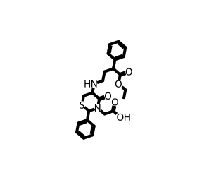 CCOC(=O)C(CCNC1CSC(c2ccccc2)N(CC(=O)O)C1=O)c1ccccc1